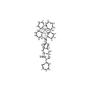 c1ccc(C2Nc3cc4oc(N5c6ccccc6C(c6ccccc6)(c6ccccc6)c6ccccc65)nc4cc3O2)cc1